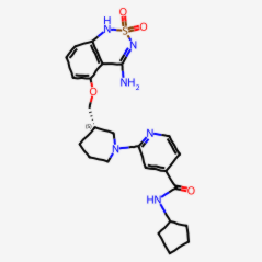 NC1=NS(=O)(=O)Nc2cccc(OC[C@H]3CCCN(c4cc(C(=O)NC5CCCC5)ccn4)C3)c21